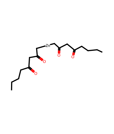 CCCCC(=O)CC(=O)[CH2][Zn][CH2]C(=O)CC(=O)CCCC